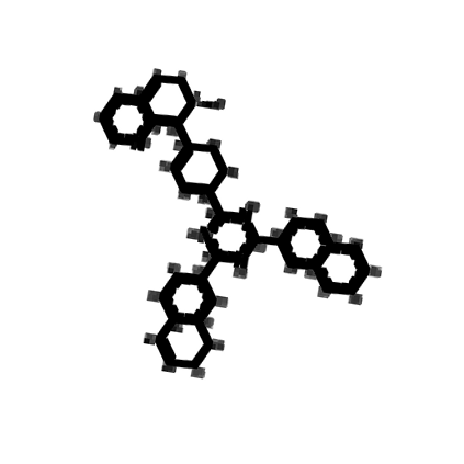 C[C@H]1CC=c2cccnc2=C1C1=CC=C(c2nc(-c3ccc4c(c3)CCC=C4)nc(-c3ccc4ccccc4c3)n2)CC1